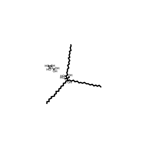 CCCCCCCCCCCCCCCCCCC(O)C(CO)(CO)C(O)(CCCCCCCCCCCCCCCCCC)CCCCCCCCCCCCCCCCCC.OP(O)O.OP(O)O